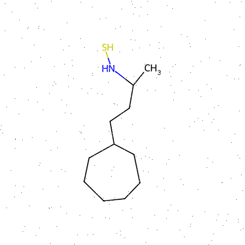 CC(CCC1CCCCCC1)NS